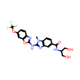 Cn1c(Nc2nc3ccc(OC(F)(F)F)cc3o2)nc2cc(C(=O)NC(CO)CO)ccc21